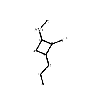 CCCC1CC(NC)C1I